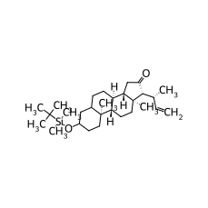 C=C[C@@H](C)[C@H]1C(=O)C[C@H]2[C@@H]3CCC4CC(O[Si](C)(C)C(C)(C)C)CC[C@]4(C)[C@H]3CC[C@]12C